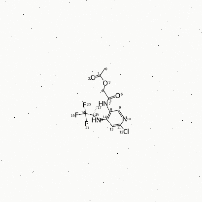 CC(=O)OCC(=O)Nc1cnc(Cl)cc1N[C@@H](C)C(F)(F)F